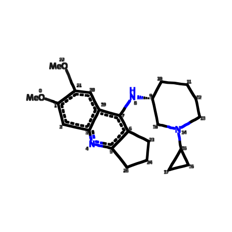 COc1cc2nc3c(c(N[C@@H]4CCCCN(C5CC5)C4)c2cc1OC)CCC3